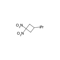 CC(C)C1CC([N+](=O)[O-])([N+](=O)[O-])C1